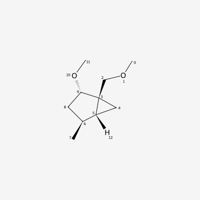 COC[C@@]12C[C@@H]1[C@@H](C)C[C@@H]2OC